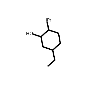 CC(C)C1CCC(CI)CC1O